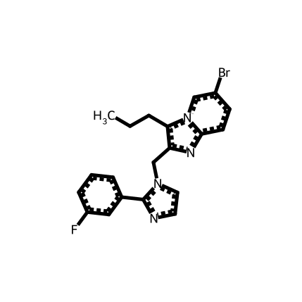 CCCc1c(Cn2ccnc2-c2cccc(F)c2)nc2ccc(Br)cn12